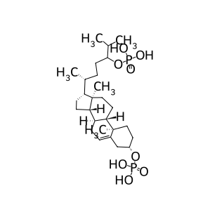 CC(C)C(CC[C@@H](C)[C@H]1CC[C@H]2[C@@H]3CC=C4C[C@@H](OP(=O)(O)O)CC[C@]4(C)[C@H]3CC[C@]12C)OP(=O)(O)O